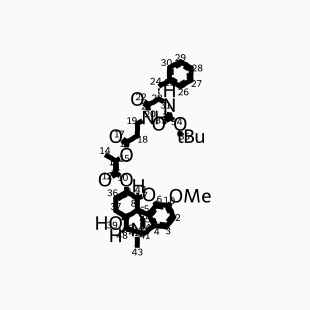 COc1ccc2c3c1O[C@H]1C(OC(=O)C(C)OC(=O)CCNC(=O)[C@H](Cc4ccccc4)NC(=O)OC(C)(C)C)=CC[C@@]4(O)[C@@H](C2)N(C)CC[C@]314